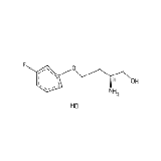 Cl.N[C@H](CO)CCOc1cccc(F)c1